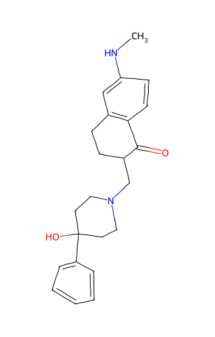 CNc1ccc2c(c1)CCC(CN1CCC(O)(c3ccccc3)CC1)C2=O